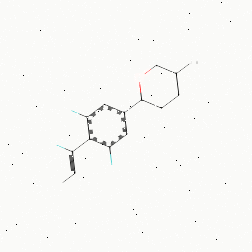 CCCC1CCC(c2cc(F)c(/C(F)=C/C(F)(F)F)c(F)c2)OC1